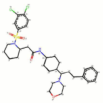 O=C(CC1CCCCN1S(=O)(=O)c1ccc(Cl)c(Cl)c1)NC1CCC(C(CCc2ccccc2)N2CCOCC2)CC1